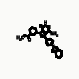 C=CC(=O)N1CCC[C@@H](n2nc(-c3ccc(-n4cc5c(n4)CCC=C5)cc3)c3c(N)n[nH]c(=O)c32)C1